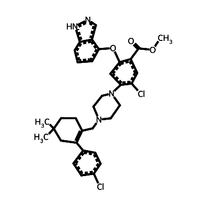 COC(=O)c1cc(Cl)c(N2CCN(CC3=C(c4ccc(Cl)cc4)CC(C)(C)CC3)CC2)cc1Oc1cccc2[nH]ncc12